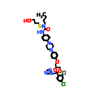 CCCCN(SCCCO)C(=O)Nc1ccc(N2CCN(c3ccc(OCC4COC(Cn5cncn5)(c5ccc(Cl)cc5Cl)O4)cc3)CC2)cc1